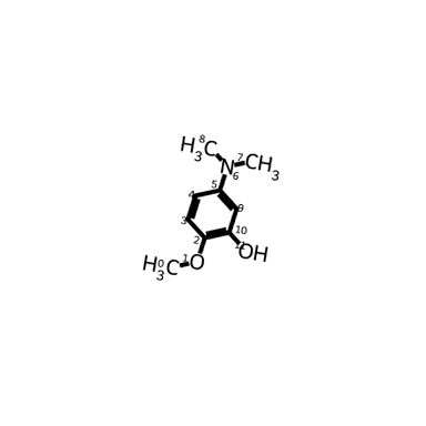 COc1ccc(N(C)C)cc1O